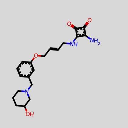 Nc1c(NCC=CCOc2cccc(CN3CCCC(O)C3)c2)c(=O)c1=O